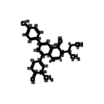 CC(CO)n1cnc2c(-c3ccc(=O)n(C)c3)nc(-c3ccc(Cl)cc3)cc2c1=O